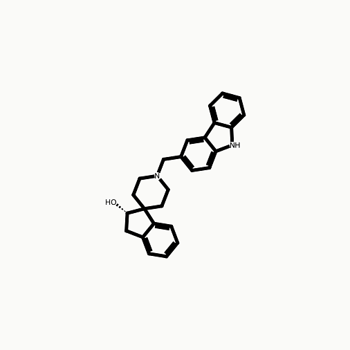 O[C@H]1Cc2ccccc2C12CCN(Cc1ccc3[nH]c4ccccc4c3c1)CC2